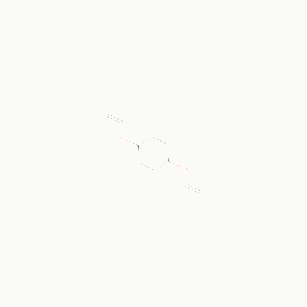 C=COC1CCC(OC=C)CC1